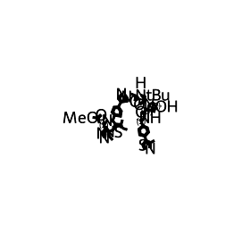 COC(=O)C[C@@H]1N=C(c2ccc(-c3cnn(CC(=O)NC(C(=O)N4C[C@H](O)C[C@H]4C(=O)N[C@@H](C)c4ccc(-c5scnc5C)cc4)C(C)(C)C)c3)cc2)c2c(sc(C)c2C)-n2c(C)nnc21